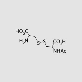 CC(=O)NC(CSSCC(N)C(=O)O)C(=O)O